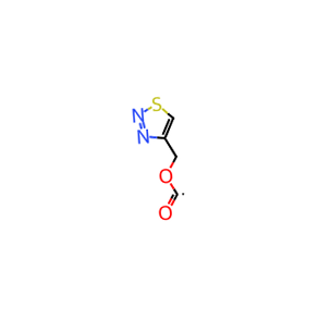 O=[C]OCc1csnn1